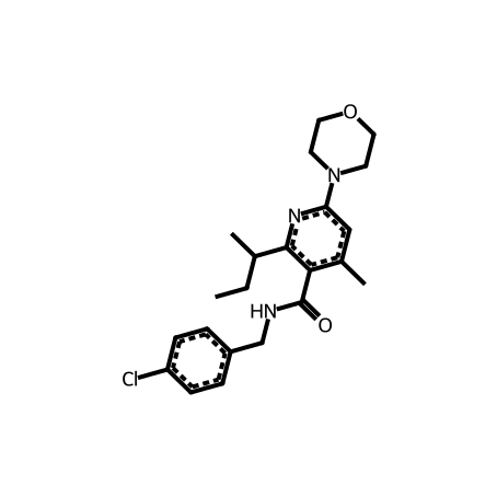 CCC(C)c1nc(N2CCOCC2)cc(C)c1C(=O)NCc1ccc(Cl)cc1